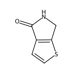 O=C1NCc2sccc21